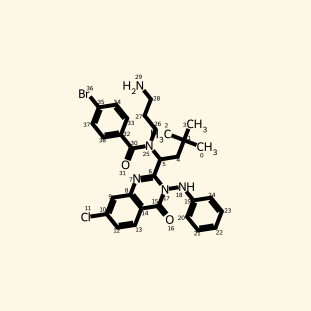 CC(C)(C)CC(c1nc2cc(Cl)ccc2c(=O)n1Nc1ccccc1)N(CCCN)C(=O)c1ccc(Br)cc1